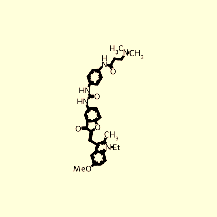 CCn1c(C)c(C=C2Oc3ccc(NC(=O)Nc4ccc(NC(=O)CCN(C)C)cc4)cc3C2=O)c2cc(OC)ccc21